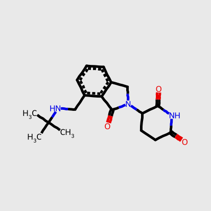 CC(C)(C)NCc1cccc2c1C(=O)N(C1CCC(=O)NC1=O)C2